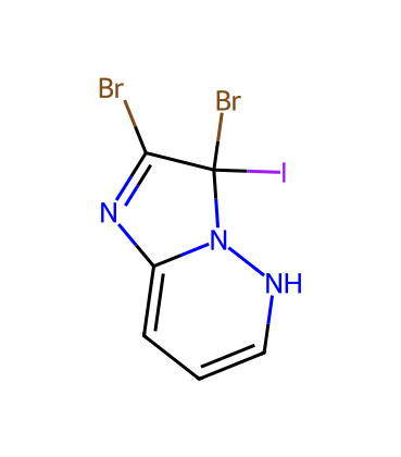 BrC1=NC2=CC=CNN2C1(Br)I